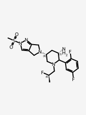 C[C@@H](F)CN1C[C@H](N2Cc3cn(S(C)(=O)=O)nc3C2)C[C@H](N)C1c1cc(F)ccc1F